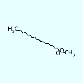 CCCCCCCCCC/C=C/CCCCCCCC(=O)OCC